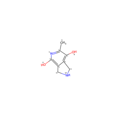 Cc1nc(O)c2c(c1O)CNC2